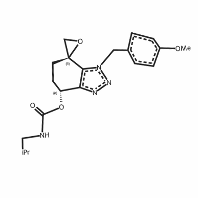 COc1ccc(Cn2nnc3c2[C@]2(CC[C@H]3OC(=O)NCC(C)C)CO2)cc1